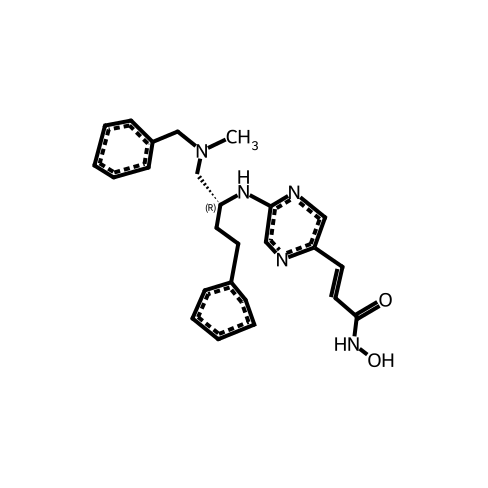 CN(Cc1ccccc1)C[C@@H](CCc1ccccc1)Nc1cnc(C=CC(=O)NO)cn1